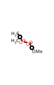 COc1ccc(C(=O)O[CH]COC(=O)c2ccc(C)cc2C)cc1